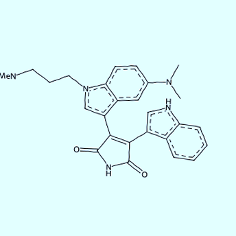 CNCCCn1cc(C2=C(c3c[nH]c4ccccc34)C(=O)NC2=O)c2cc(N(C)C)ccc21